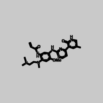 C=CC(=O)Nc1cc(Nc2nccc(-c3cc(C)c[nH]c3=O)n2)c(OC)cc1N(C)CCN(C)C